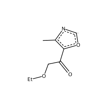 CCOCC(=O)c1o[c]nc1C